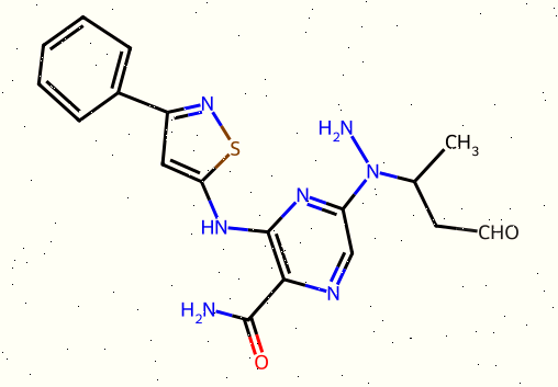 CC(CC=O)N(N)c1cnc(C(N)=O)c(Nc2cc(-c3ccccc3)ns2)n1